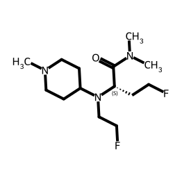 CN1CCC(N(CCF)[C@@H](CCF)C(=O)N(C)C)CC1